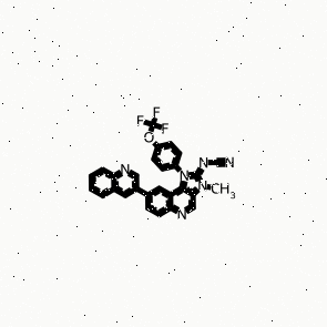 Cn1c(=NC#N)n(-c2ccc(OC(F)(F)F)cc2)c2c3cc(-c4cnc5ccccc5c4)ccc3ncc21